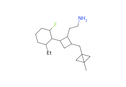 CCC1CCCC(F)C1C1CC(CC23CC2(C)C3)C1CCN